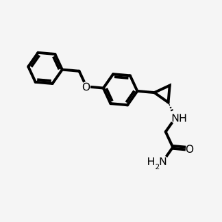 NC(=O)CN[C@H]1CC1c1ccc(OCc2ccccc2)cc1